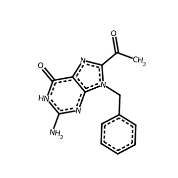 CC(=O)c1nc2c(=O)[nH]c(N)nc2n1Cc1ccccc1